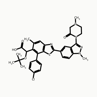 Cc1cc2nc(-c3ccc4c(c3)c(N3CCN(C)CC3=O)nn4C)sc2c(-c2ccc(Cl)cc2)c1C(OC(C)(C)C)C(=O)O